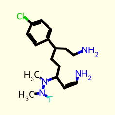 CN(F)N(C)C(/C=C\N)CCC(CCN)c1ccc(Cl)cc1